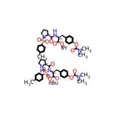 CCCCOC(=O)[C@H](Cc1ccc(OC(=O)N(C)C)cc1)N(C(=O)[C@@H]1CCCN1)S(=O)(=O)c1ccc(C)cc1.Cc1ccc(S(=O)(=O)N2CCC[C@H]2C(=O)N[C@@H](Cc2ccc(OC(=O)N(C)C)cc2)C(=O)OC(C)C)cc1